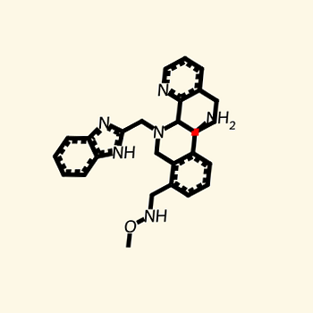 CONCc1cccc(CN)c1CN(Cc1nc2ccccc2[nH]1)C1CCCc2cccnc21